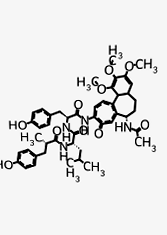 COC1=CC2CC[C@H](NC(C)=O)c3cc(=O)c(NC(=O)[C@H](Cc4ccc(O)cc4)NC(=O)[C@H](CC(C)C)NC(=O)[C@@H](C)Cc4ccc(O)cc4)ccc3C2C(OC)=C1OC